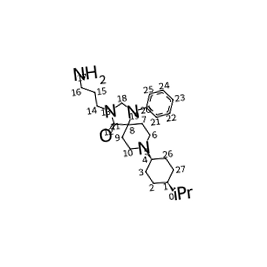 CC(C)[C@H]1CC[C@@H](N2CCC3(CC2)C(=O)N(CCCN)CN3c2ccccc2)CC1